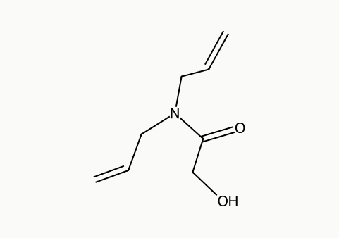 C=CCN(CC=C)C(=O)CO